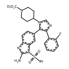 CCOC(=O)N1CCC(n2cnc(-c3ccccc3F)c2-c2ccc3nc(N)n(S(=O)(=O)C(C)C)c3c2)CC1